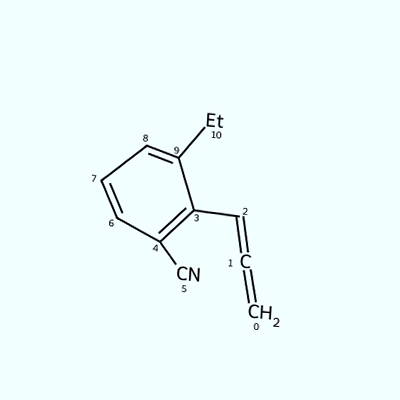 C=C=Cc1c(C#N)cccc1CC